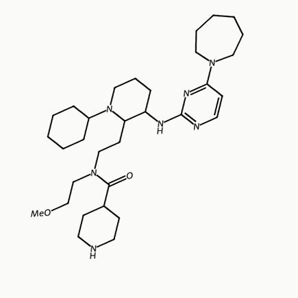 COCCN(CCC1C(Nc2nccc(N3CCCCCC3)n2)CCCN1C1CCCCC1)C(=O)C1CCNCC1